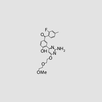 COCCOCCOc1cc(-c2cc(C(=O)c3ccc(C)cc3F)ccc2O)nc(N)n1